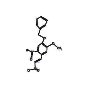 COc1cc(/C=C/[N+](=O)[O-])c([N+](=O)[O-])cc1OCc1ccccc1